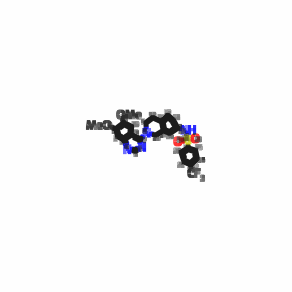 COc1cc2ncnc(N3CCc4ccc(NS(=O)(=O)c5ccc(C(F)(F)F)cc5)cc4C3)c2cc1OC